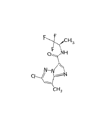 Cc1cc(Cl)nn2c(C(=O)N[C@H](C)C(F)(F)F)cnc12